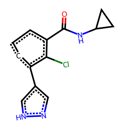 O=C(NC1CC1)c1cccc(-c2cn[nH]c2)c1Cl